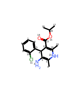 CC1=C(N)C(c2ccccc2Cl)C(C(=O)OC(C)C)=C(C)N1